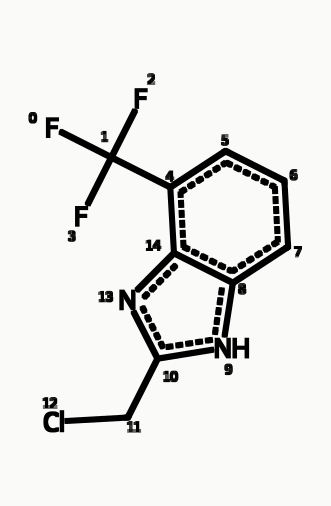 FC(F)(F)c1cccc2[nH]c(CCl)nc12